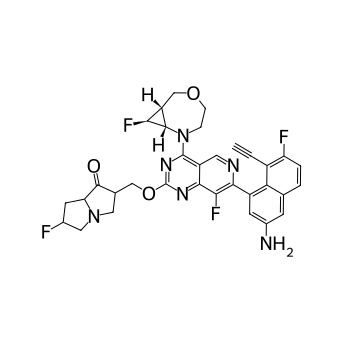 C#Cc1c(F)ccc2cc(N)cc(-c3ncc4c(N5CCOC[C@H]6[C@H](F)[C@H]65)nc(OCC5CN6CC(F)CC6C5=O)nc4c3F)c12